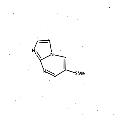 CSc1cnc2nccn2c1